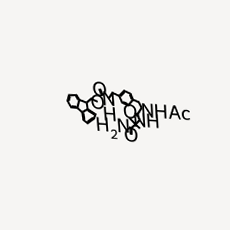 CC(=O)NC(Cc1ccc(CNC(=O)OCC2c3ccccc3-c3ccccc32)cc1)C(=O)NC(C)(C)C(N)=O